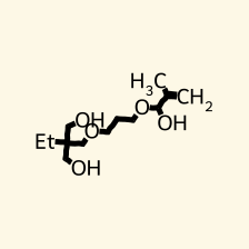 C=C(C)C(O)OCCCOCC(CC)(CO)CO